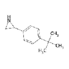 CC(C)(C)c1ccc(C2CN2)cc1